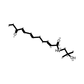 CCC(=O)/C=C/C=C/CC/C=C/C(=O)NCC(C)(C)O